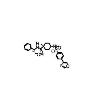 C[C@]1(C(=O)N[C@H](CO)c2ccccc2)CC[C@H](NS(=O)(=O)c2ccc(-c3cocn3)cc2)CC1